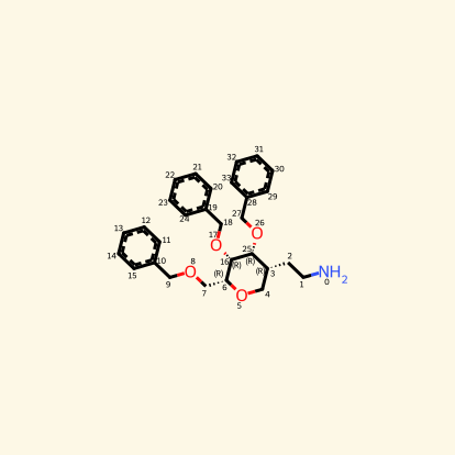 NCC[C@@H]1CO[C@H](COCc2ccccc2)[C@H](OCc2ccccc2)[C@@H]1OCc1ccccc1